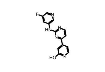 Oc1cc(-c2ccnc(Nc3cncc(F)c3)n2)ccn1